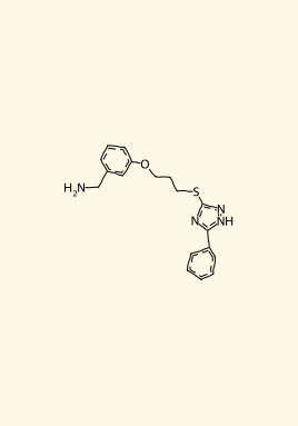 NCc1cccc(OCCCSc2n[nH]c(-c3ccccc3)n2)c1